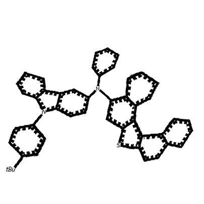 CC(C)(C)c1ccc(-n2c3ccccc3c3cc(N(c4ccccc4)c4cc5sc6ccc7ccccc7c6c5c5ccccc45)ccc32)cc1